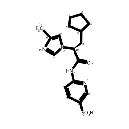 O=C(Nc1ccc(S(=O)(=O)O)cn1)[C@H](CC1CCCC1)n1cnc(C(F)(F)F)c1